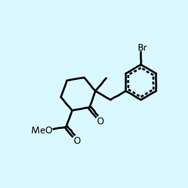 COC(=O)C1CCCC(C)(Cc2cccc(Br)c2)C1=O